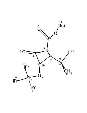 CC(C)[Si](O[C@H]1C(=O)N(C(=O)OC(C)(C)C)[C@H]1[C@H](C)F)(C(C)C)C(C)C